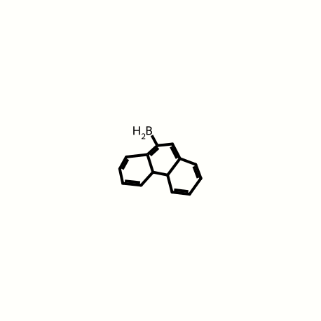 BC1=C2C=CC=CC2C2C=CC=CC2=C1